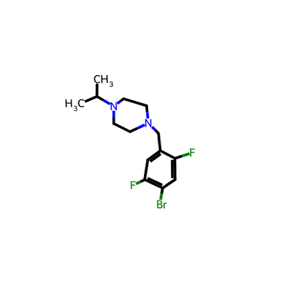 CC(C)N1CCN(Cc2cc(F)c(Br)cc2F)CC1